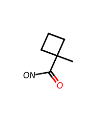 CC1(C(=O)N=O)CCC1